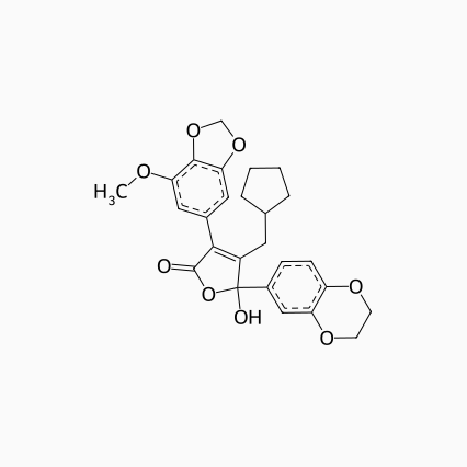 COc1cc(C2=C(CC3CCCC3)C(O)(c3ccc4c(c3)OCCO4)OC2=O)cc2c1OCO2